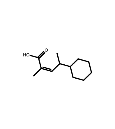 C[C](C=C(C)C(=O)O)C1CCCCC1